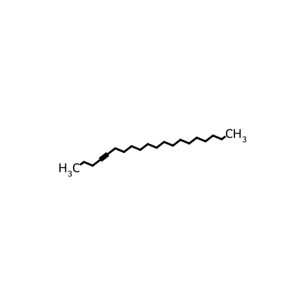 CCCC#CCCCCCCCCCCCCCCC